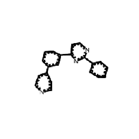 c1ccc(-c2nccc(-c3cccc(-c4ccncc4)c3)n2)cc1